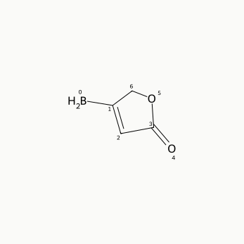 BC1=CC(=O)OC1